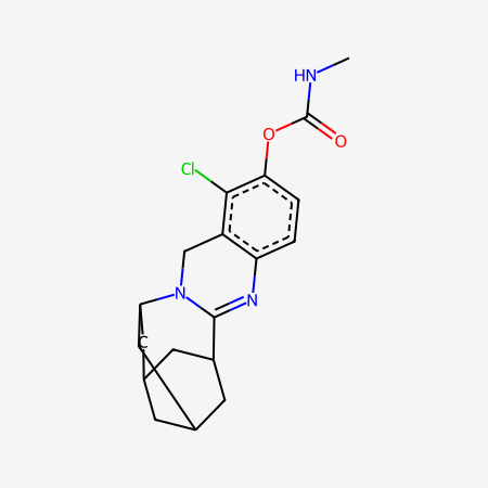 CNC(=O)Oc1ccc2c(c1Cl)CN1C(=N2)C2CC3CC(C2)CC1C3